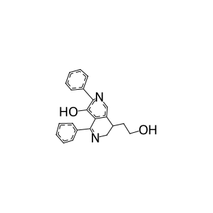 OCCC1CN=C(c2ccccc2)c2c1cnc(-c1ccccc1)c2O